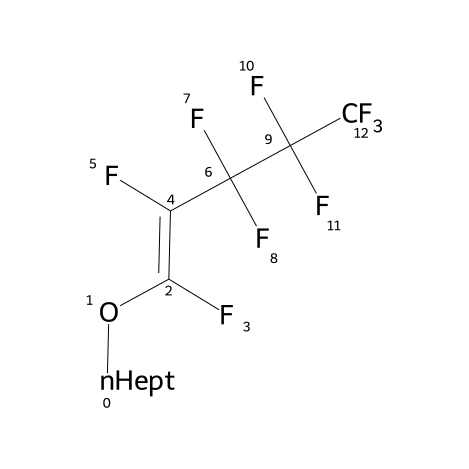 CCCCCCCOC(F)=C(F)C(F)(F)C(F)(F)C(F)(F)F